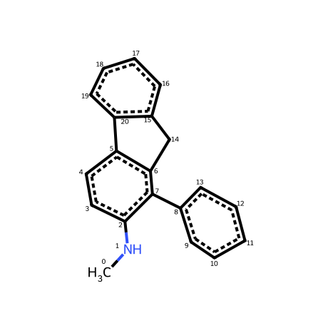 CNc1ccc2c(c1-c1ccccc1)Cc1ccccc1-2